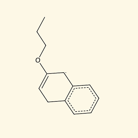 CCCOC1=CCc2ccccc2[CH]1